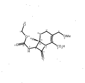 COCC1=C(C(=O)O)N2C(=O)C(NC(=O)OCCl)[C@@H]2SC1